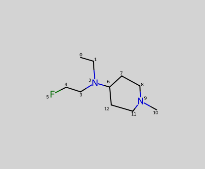 CCN(CCF)C1CCN(C)CC1